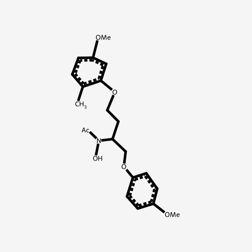 COc1ccc(OCC(CCOc2cc(OC)ccc2C)N(O)C(C)=O)cc1